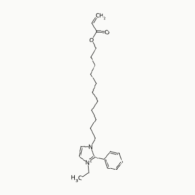 C=CC(=O)OCCCCCCCCCCCn1cc[n+](CC)c1-c1ccccc1